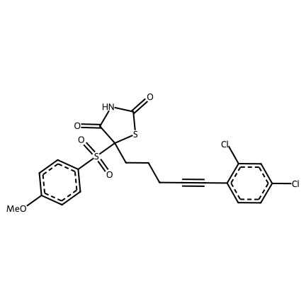 COc1ccc(S(=O)(=O)C2(CCCC#Cc3ccc(Cl)cc3Cl)SC(=O)NC2=O)cc1